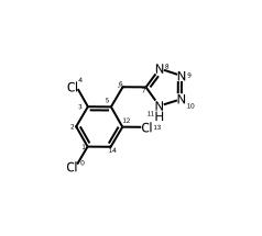 Clc1cc(Cl)c([CH]c2nnn[nH]2)c(Cl)c1